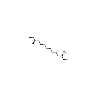 C=CC(=C)CCCCCCCCC(=O)C=C